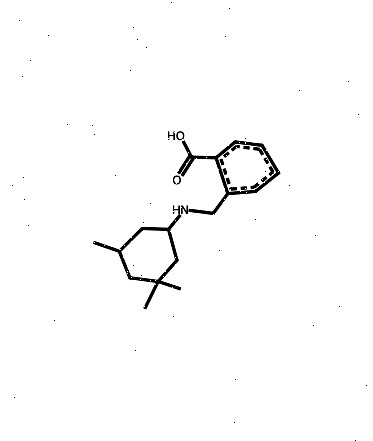 CC1CC(NCc2ccccc2C(=O)O)CC(C)(C)C1